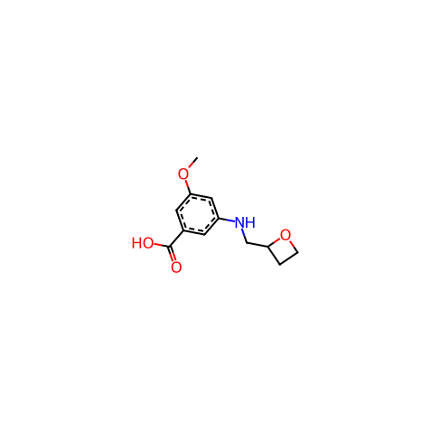 COc1cc(NCC2CCO2)cc(C(=O)O)c1